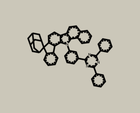 c1ccc(-c2nc(-c3ccccc3)nc(-c3cccc(-n4c5c6c(ccc5c5ccc7ccccc7c54)C4(c5ccccc5-6)C5CC6CC(C5)CC4C6)c3)n2)cc1